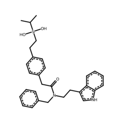 CC(C)[Si](O)(O)CCc1ccc(CC(=O)N(CCc2c[nH]c3ccccc23)Cc2ccccc2)cc1